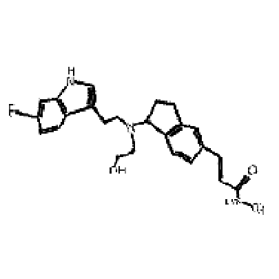 O=C(C=Cc1ccc2c(c1)CCC2N(CCO)CCc1c[nH]c2cc(F)ccc12)NO